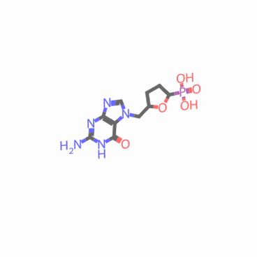 Nc1nc2ncn(CC3CCC(P(=O)(O)O)O3)c2c(=O)[nH]1